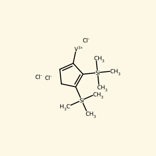 C[Si](C)(C)C1=C([Si](C)(C)C)[C]([V+3])=CC1.[Cl-].[Cl-].[Cl-]